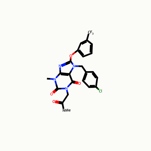 CNC(=O)Cn1c(=O)c2c(nc(Oc3cccc(C(F)(F)F)c3)n2Cc2ccc(Cl)cc2)n(C)c1=O